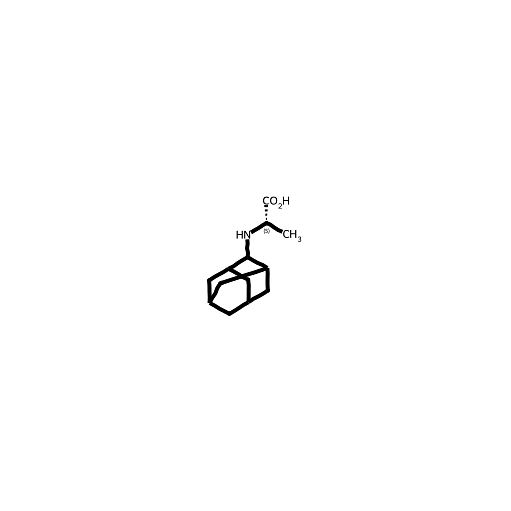 C[C@H](NC1C2CC3CC(C2)CC1C3)C(=O)O